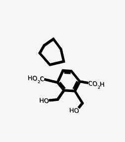 C1CCCCC1.O=C(O)c1ccc(C(=O)O)c(CO)c1CO